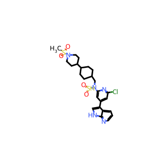 CS(=O)(=O)N1CCC(C2CCC(CN(c3cc(-c4c[nH]c5ncccc45)cc(Cl)n3)[SH](=O)=O)CC2)CC1